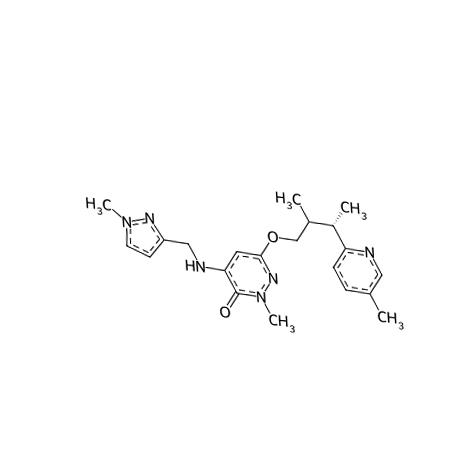 Cc1ccc([C@@H](C)C(C)COc2cc(NCc3ccn(C)n3)c(=O)n(C)n2)nc1